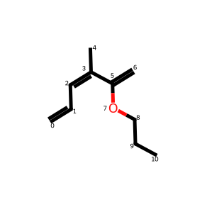 C=C/C=C(/C)C(=C)OCCC